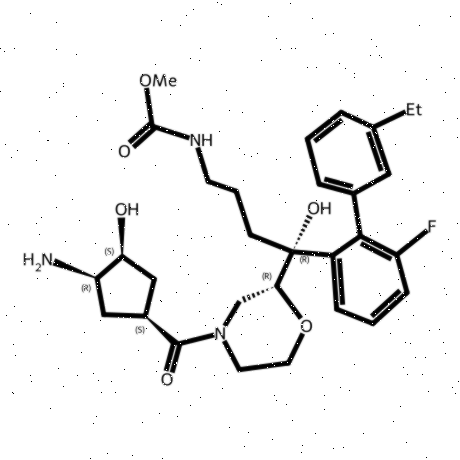 CCc1cccc(-c2c(F)cccc2[C@](O)(CCCNC(=O)OC)[C@H]2CN(C(=O)[C@H]3C[C@@H](N)[C@@H](O)C3)CCO2)c1